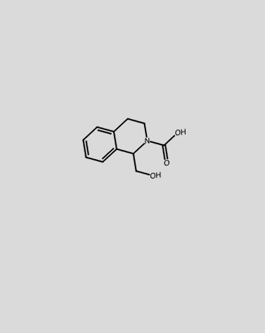 O=C(O)N1CCc2ccccc2C1CO